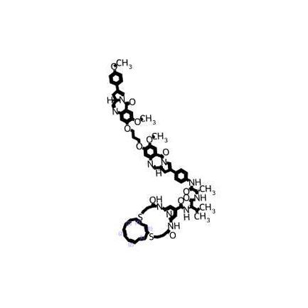 COc1ccc(C2=CN3C(=O)c4cc(OC)c(OCCCOc5cc6c(cc5OC)C(=O)N5C=C(c7ccc(NC(=O)[C@H](C)NC(=O)[C@@H](NC(=O)c8cc9nc(c8)NC(=O)CCSC8=C/C(=C/C=C\C=C/C=C\C=C\8)SCCC(=O)N9)C(C)C)cc7)C[C@H]5C=N6)cc4N=C[C@@H]3C2)cc1